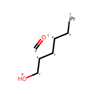 C=O.CC(C)CCCCCO